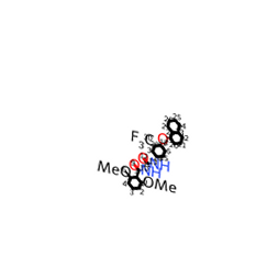 COc1cccc(OC)c1C(=O)NC(=O)Nc1ccc(Oc2cccc3ccccc23)c(C(F)(F)F)c1